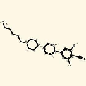 CCCCCC[C@H]1CC[C@H](c2cnc(-c3cc(F)c(C#N)c(F)c3)nc2)CC1